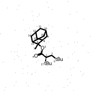 CC(C)(C)C[C@H](C(=O)OC1(C)C2CC3CC(C2)CC1C3)C(C)(C)C